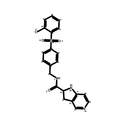 O=C(NCc1ccc(S(=O)(=O)c2ccccc2Cl)cc1)C1Cc2cnccc2N1